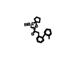 CCOC(=O)C1(ON(C)C(=O)Cc2ccccc2-c2ccccc2C)CCCC1